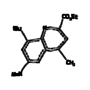 CCOC(=O)c1cc(C)c2cc(NC)cc(C(C)(C)C)c2n1